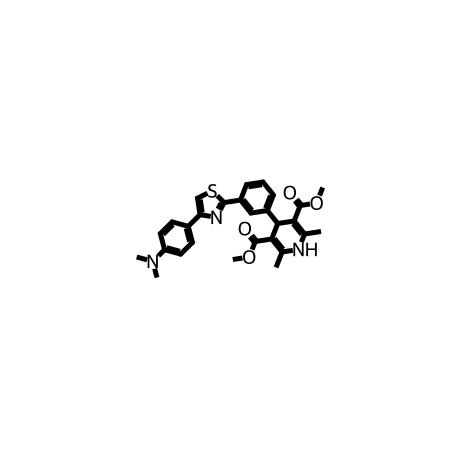 COC(=O)C1=C(C)NC(C)=C(C(=O)OC)C1c1cccc(-c2nc(-c3ccc(N(C)C)cc3)cs2)c1